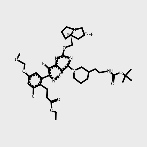 CCOC(=O)CCc1c(Cl)cc(OCOC)cc1-c1ncc2c(N3CCCC(CCNC(=O)OC(C)(C)C)C3)nc(OC[C@@]34CCCN3C[C@H](F)C4)nc2c1F